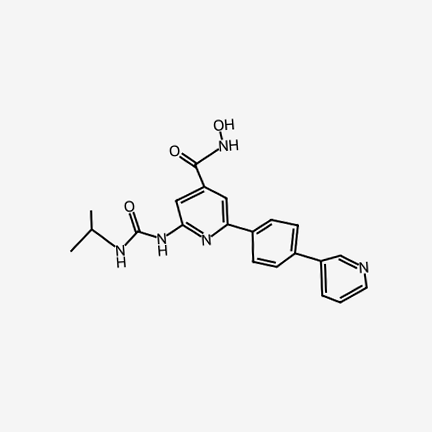 CC(C)NC(=O)Nc1cc(C(=O)NO)cc(-c2ccc(-c3cccnc3)cc2)n1